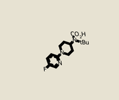 CC(C)(C)N(C(=O)O)C1CCN(c2ccc(F)cn2)CC1